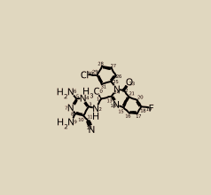 C[C@H](Nc1nc(N)nc(N)c1C#N)c1nc2ccc(F)cc2c(=O)n1-c1cccc(Cl)c1